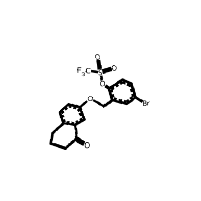 O=C1CCCc2ccc(OCc3cc(Br)ccc3OS(=O)(=O)C(F)(F)F)cc21